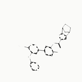 COc1nnc(-c2ccc(F)c(NC(=O)c3cc4c(s3)C3CCC4C3)c2)cc1Nc1ccncn1